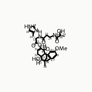 COc1ccc2c3c1O[C@H]1C(OC(=O)[C@H](Cc4c[nH]cn4)NC(=O)CCNC(=O)[C@H](C)O)=CC[C@@]4(O)[C@@H](C2)C(C)CC[C@]314